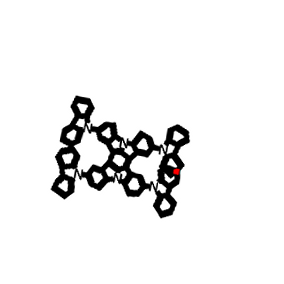 c1ccc2c(c1)c1ccccc1n2-c1ccc2c(c1)c1c3c4cc(-n5c6ccccc6c6ccccc65)ccc4n4c5ccc(-n6c7ccccc7c7ccccc76)cc5c(c5c6cc(-n7c8ccccc8c8ccccc87)ccc6n2c15)c34